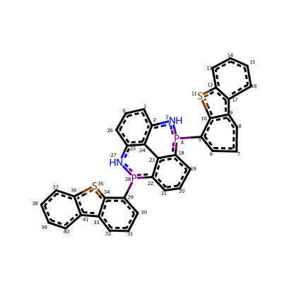 c1cc2[nH]p(-c3cccc4c3sc3ccccc34)c3cccc4c3-c2c(c1)[nH]p4-c1cccc2c1sc1ccccc12